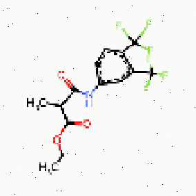 CCOC(=O)C(C)C(=O)Nc1ccc(C(F)(F)F)c(C(F)(F)F)c1